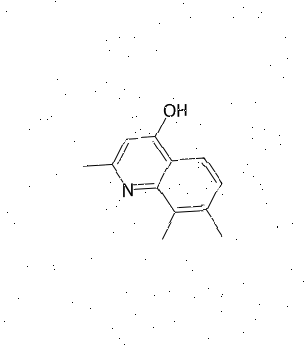 Cc1cc(O)c2ccc(C)c(C)c2n1